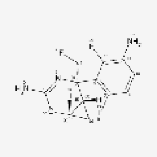 NC1=N[C@@](CF)(c2c(F)ccc(N)c2F)[C@@H]2C[C@@H]2O1